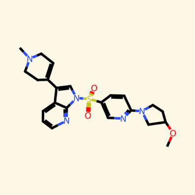 COC1CCN(c2ccc(S(=O)(=O)n3cc(C4=CCN(C)CC4)c4cccnc43)cn2)C1